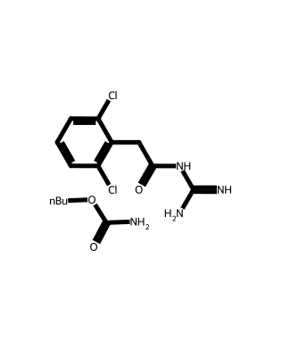 CCCCOC(N)=O.N=C(N)NC(=O)Cc1c(Cl)cccc1Cl